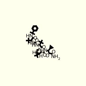 CC(C)(NC(=O)[C@@H](NC(=O)N[C@H](C(=O)N1C[C@H]2[C@@H]([C@H]1C(=O)NC(C(=O)C(N)=O)C1CC1)C2(C)C)C(C)(C)C)C(C)(C)C)c1ccccc1